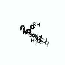 CC(C)(C)OC(=O)NC1CC(Oc2cc(-c3ccc(O)cc3)cc3c2cnn3C2CCCCO2)C1